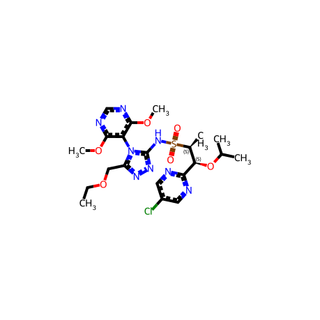 CCOCc1nnc(NS(=O)(=O)[C@@H](C)[C@@H](OC(C)C)c2ncc(Cl)cn2)n1-c1c(OC)ncnc1OC